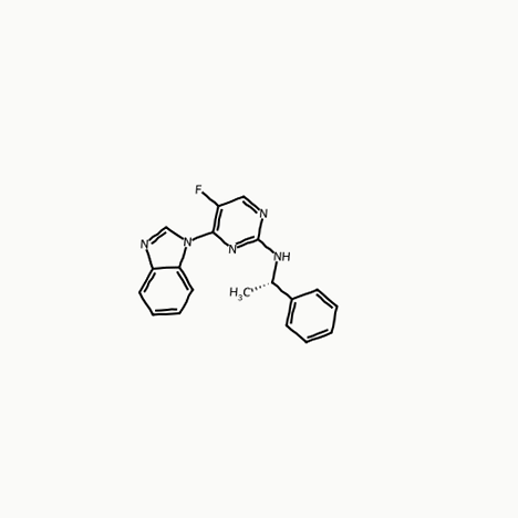 C[C@H](Nc1ncc(F)c(-n2cnc3ccccc32)n1)c1ccccc1